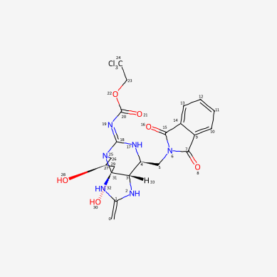 C=C1N[C@H]2[C@H](CN3C(=O)c4ccccc4C3=O)N/C(=N\C(=O)OCC(Cl)(Cl)Cl)N3C[C@H](O)[C@H](O)[C@]23N1